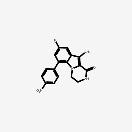 Cc1c2n(c3c(-c4ccc([N+](=O)[O-])cc4)cc(F)cc13)CCNC2=O